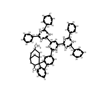 CC1CC2CC(C)C3(c4ccccc4-c4ccc(-c5nc(-c6nc(-c7ccccc7)nc(-c7ccccc7)n6)cc(-c6nc(-c7ccccc7)nc(-c7ccccc7)n6)n5)cc43)C(C1)C2